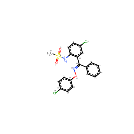 O=S(=O)(Nc1ccc(Cl)cc1/C(=N/Oc1ccc(Cl)cc1)c1ccccc1)C(F)(F)F